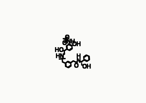 CC(C)(Cc1cccc(CC(=O)N[C@H](CO)c2ccccc2)c1)NC[C@@H](O)c1ccc(O)c(NS(C)(=O)=O)c1